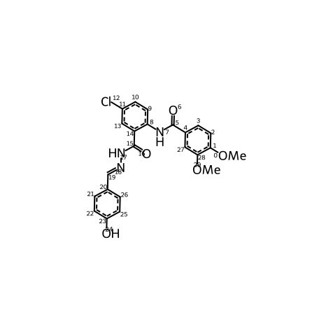 COc1ccc(C(=O)Nc2ccc(Cl)cc2C(=O)N/N=C/c2ccc(O)cc2)cc1OC